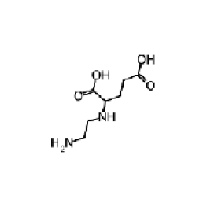 NCCNC(CCC(=O)O)C(=O)O